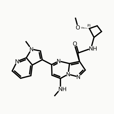 CNc1cc(-c2cn(C)c3ncccc23)nc2c(C(=O)NC3CC[C@H]3OC)cnn12